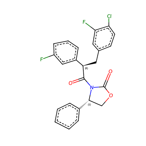 O=C1OC[C@H](c2ccccc2)N1C(=O)[C@H](Cc1ccc(Cl)c(F)c1)c1cccc(F)c1